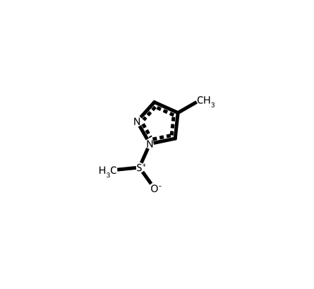 Cc1cnn([S+](C)[O-])c1